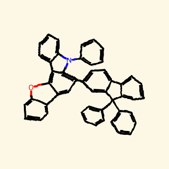 c1ccc(-n2c3ccccc3c3c4oc5ccccc5c4cc(-c4ccc5c(c4)C(c4ccccc4)(c4ccccc4)c4ccccc4-5)c32)cc1